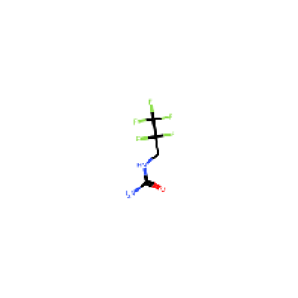 NC(=O)NCC(F)(F)C(F)(F)F